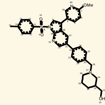 COc1ccc(-c2cn(S(=O)(=O)c3ccc(C)cc3)c3ncc(-c4ccc(CN5CCCC(CO)C5)cc4)cc23)cn1